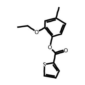 CCOc1cc(C)ccc1OC(=O)c1cccs1